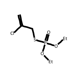 C=C(Cl)CSP(=O)(OCC)OCC